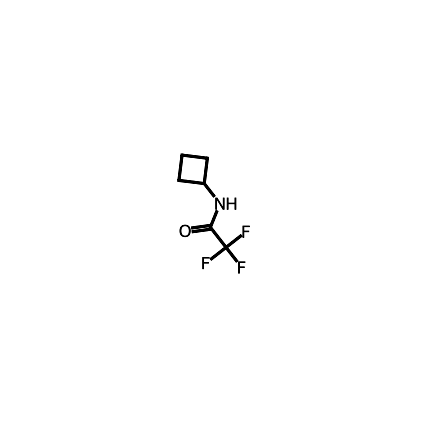 O=C(NC1CCC1)C(F)(F)F